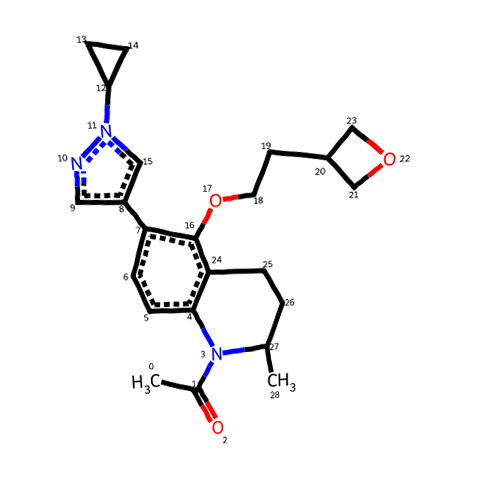 CC(=O)N1c2ccc(-c3cnn(C4CC4)c3)c(OCCC3COC3)c2CCC1C